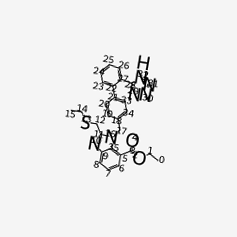 CCOC(=O)c1cccc2nc(CSCC)n(Cc3ccc(-c4ccccc4-c4nnn[nH]4)cc3)c12